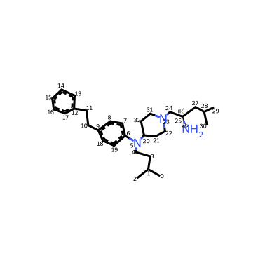 CC(C)CCN(c1ccc(CCc2ccccc2)cc1)C1CCN(C[C@H](N)CC(C)C)CC1